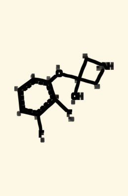 OC1(Oc2cccc(F)c2F)CNC1